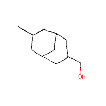 CC1CC2CC(CO)CC(C1)C2